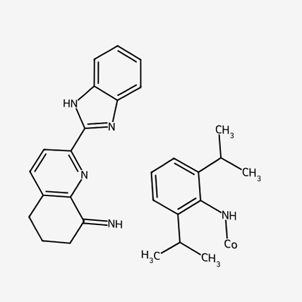 CC(C)c1cccc(C(C)C)c1[NH][Co].N=C1CCCc2ccc(-c3nc4ccccc4[nH]3)nc21